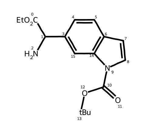 CCOC(=O)C(N)c1ccc2ccn(C(=O)OC(C)(C)C)c2c1